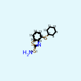 NSc1nc2c(SC3CCCCC3)cccc2s1